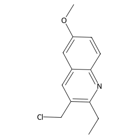 CCc1nc2ccc(OC)cc2cc1CCl